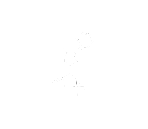 Cc1nc(C(C#N)O[Si](C)(C)C)nn1-c1ccccc1